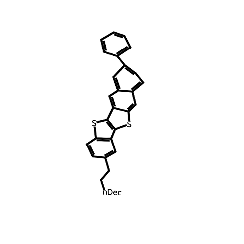 CCCCCCCCCCCCc1ccc2sc3c4cc5cc(-c6ccccc6)ccc5cc4sc3c2c1